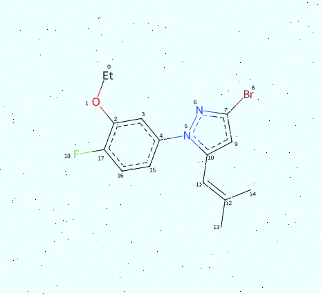 CCOc1cc(-n2nc(Br)cc2C=C(C)C)ccc1F